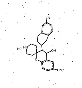 COc1ccc2c(c1)C(O)C(C1CCc3cc(C#N)ccc3C1)C1(CCNCC1)O2.Cl